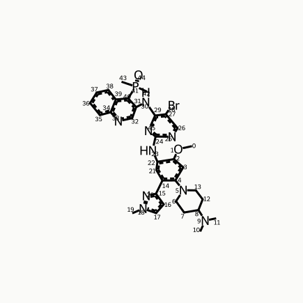 COc1cc(N2CCC(N(C)C)CC2)c(-c2ccn(C)n2)cc1Nc1ncc(Br)c(Nc2cnc3ccccc3c2P(C)(C)=O)n1